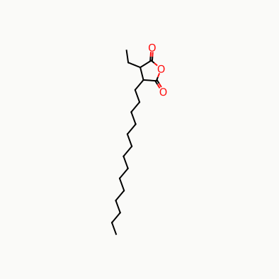 CCCCCCCCCCCCCCC1C(=O)OC(=O)C1CC